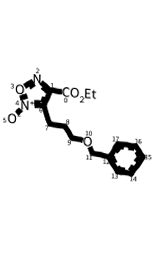 CCOC(=O)c1no[n+]([O-])c1CCCOCc1ccccc1